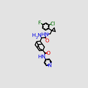 NC(C(=O)NCC1(c2ccc(F)cc2Cl)CC1)C1C2CC3CC1CC(C(=O)Nc1ccncc1)(C3)C2